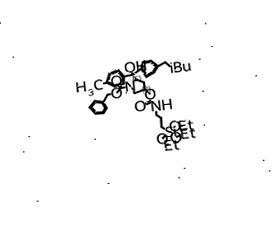 CCO[Si](CCCNC(=O)O[C@@H]1C[C@@H](C(O)(c2ccc(C)cc2)c2ccc(CC(C)CC)cc2)N(C(=O)OCc2ccccc2)C1)(OCC)OCC